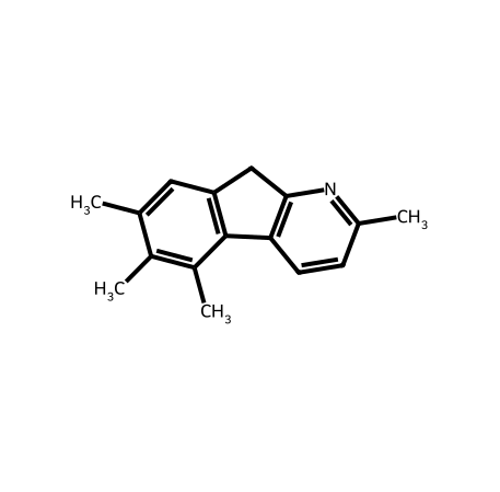 Cc1ccc2c(n1)Cc1cc(C)c(C)c(C)c1-2